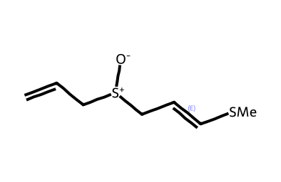 C=CC[S+]([O-])C/C=C/SC